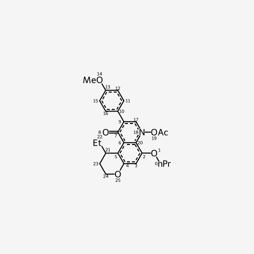 CCCOc1cc2c(c3c(=O)c(-c4ccc(OC)cc4)cn(OC(C)=O)c13)C(CC)CCO2